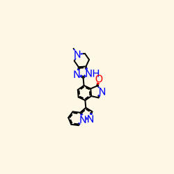 CN1CCc2[nH]c(-c3ccc(-c4cnn5ccccc45)c4c3C(=O)N=C4)nc2C1